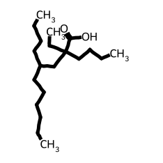 CCCCCCC(CCCC)CC(CC)(CCCC)C(=O)O